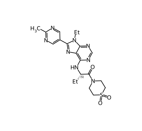 CC[C@H](Nc1ncnc2c1nc(-c1cnc(C)nc1)n2CC)C(=O)N1CCS(=O)(=O)CC1